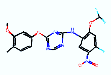 COc1cc(Oc2ncnc(Nc3cc([N+](=O)[O-])c(F)cc3OC(F)F)n2)ccc1C